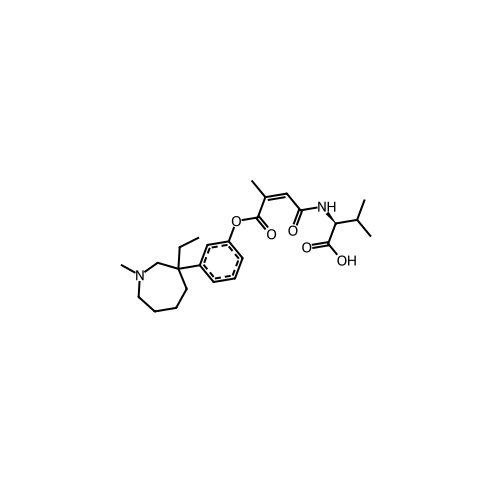 CCC1(c2cccc(OC(=O)/C(C)=C\C(=O)N[C@H](C(=O)O)C(C)C)c2)CCCCN(C)C1